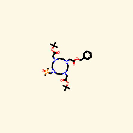 CC(C)(C)OC(=O)CN1CCN(CC(=O)OCc2ccccc2)CCN(CC(=O)OC(C)(C)C)CCN(CP(C)(C)=O)CC1